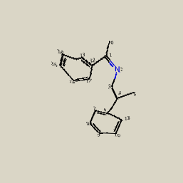 CC(=NCC(C)c1ccccc1)c1ccccc1